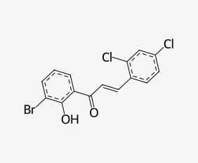 O=C(/C=C/c1ccc(Cl)cc1Cl)c1cccc(Br)c1O